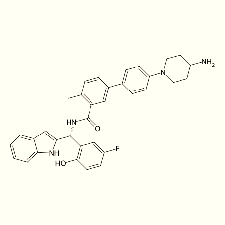 Cc1ccc(-c2ccc(N3CCC(N)CC3)cc2)cc1C(=O)N[C@@H](c1cc2ccccc2[nH]1)c1cc(F)ccc1O